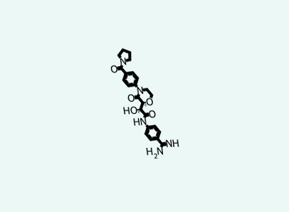 N=C(N)c1ccc(NC(=O)[C@H](O)[C@H]2OCCN(c3ccc(C(=O)N4CCCC4)cc3)C2=O)cc1